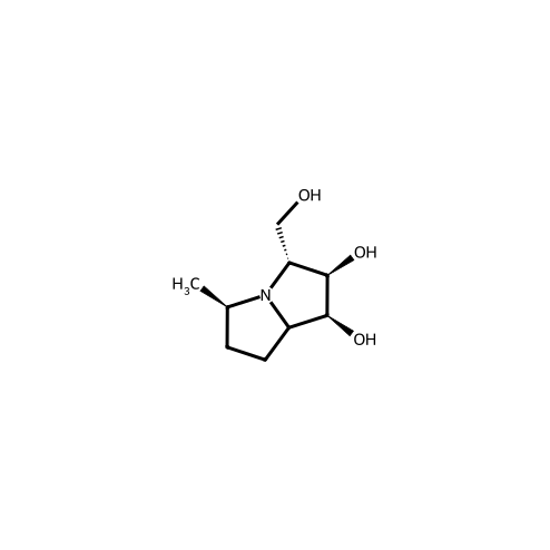 C[C@@H]1CCC2[C@H](O)[C@H](O)[C@@H](CO)N21